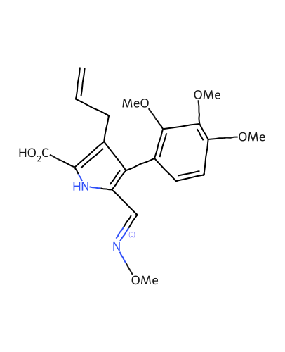 C=CCc1c(C(=O)O)[nH]c(/C=N/OC)c1-c1ccc(OC)c(OC)c1OC